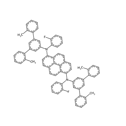 Cc1ccccc1-c1cc(-c2ccccc2C)cc(N(c2ccccc2F)c2ccc3ccc4c(N(c5cc(-c6ccccc6C)cc(-c6ccccc6C)c5)c5ccccc5F)ccc5ccc2c3c54)c1